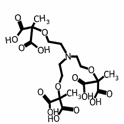 CC(OCCN(CCOC(C)(C(=O)O)C(=O)O)CCOC(C)(C(=O)O)C(=O)O)(C(=O)O)C(=O)O